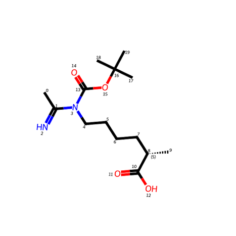 CC(=N)N(CCCC[C@H](C)C(=O)O)C(=O)OC(C)(C)C